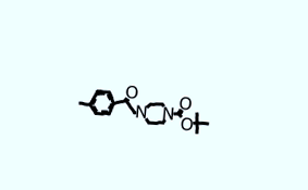 Cc1ccc(C(=O)CN2CCN(C(=O)OC(C)(C)C)CC2)cc1